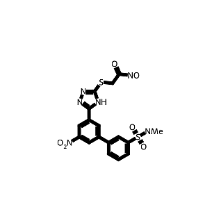 CNS(=O)(=O)c1cccc(-c2cc(-c3nnc(SCC(=O)N=O)[nH]3)cc([N+](=O)[O-])c2)c1